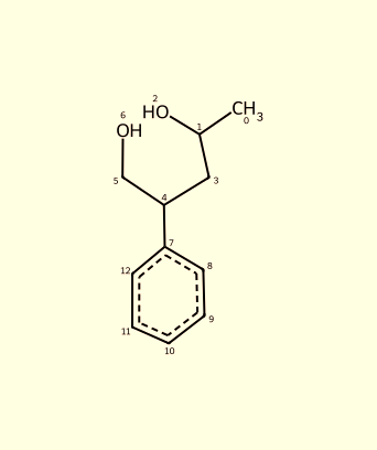 CC(O)CC(CO)c1ccccc1